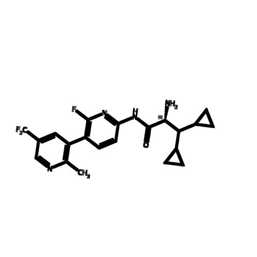 Cc1ncc(C(F)(F)F)cc1-c1ccc(NC(=O)[C@@H](N)C(C2CC2)C2CC2)nc1F